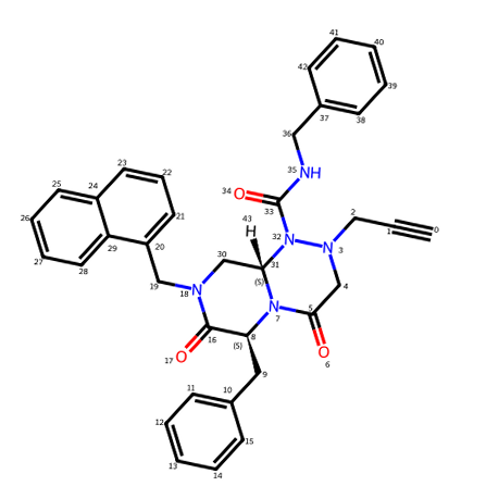 C#CCN1CC(=O)N2[C@@H](Cc3ccccc3)C(=O)N(Cc3cccc4ccccc34)C[C@@H]2N1C(=O)NCc1ccccc1